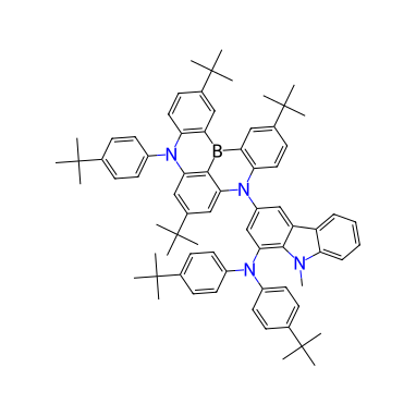 Cn1c2ccccc2c2cc(N3c4ccc(C(C)(C)C)cc4B4c5cc(C(C)(C)C)ccc5N(c5ccc(C(C)(C)C)cc5)c5cc(C(C)(C)C)cc3c54)cc(N(c3ccc(C(C)(C)C)cc3)c3ccc(C(C)(C)C)cc3)c21